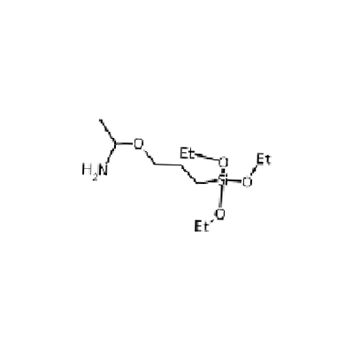 CCO[Si](CCCOC(C)N)(OCC)OCC